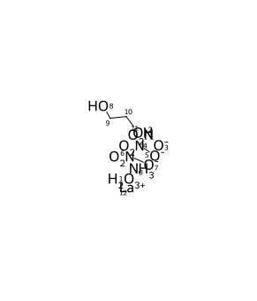 N.O.O=[N+]([O-])[O-].O=[N+]([O-])[O-].O=[N+]([O-])[O-].OCCO.[La+3]